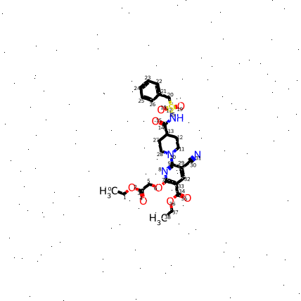 CCOC(=O)COc1nc(N2CCC(C(=O)NS(=O)(=O)Cc3ccccc3)CC2)c(C#N)cc1C(=O)OCC